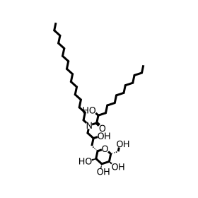 CCCCCCCCCCCCCCCCN(CC(O)C[C@@H]1O[C@H](CO)[C@@H](O)[C@H](O)[C@H]1O)C(=O)C(O)CCCCCCCCCC